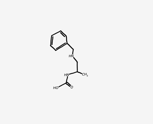 CC(CNCc1ccccc1)NC(=O)O